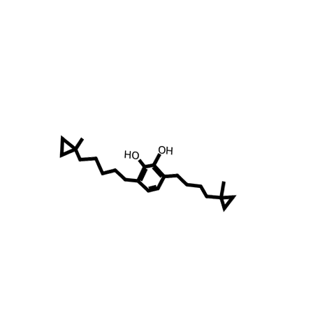 CC1(CCCCCc2ccc(CCCCC3(C)CC3)c(O)c2O)CC1